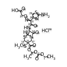 CCOC(=O)OC(C)OC(=O)C1(SC)CS[C@@H]2C(NC(=O)C(=NOCC(=O)O)c3csc(N)n3)C(=O)N2C1.Cl